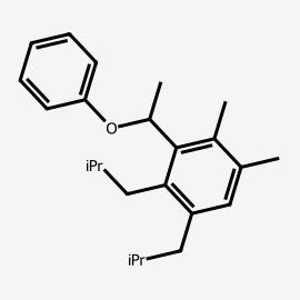 Cc1cc(CC(C)C)c(CC(C)C)c(C(C)Oc2ccccc2)c1C